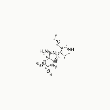 CCOCC1CNCCN1c1nc(N)c2cc(OC)c(OC)c(F)c2n1